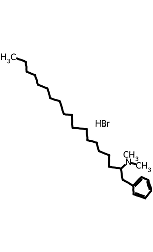 Br.CCCCCCCCCCCCCCCCCC(Cc1ccccc1)N(C)C